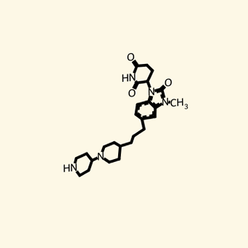 Cn1c(=O)n(C2CCC(=O)NC2=O)c2ccc(CCCC3CCN(C4CCNCC4)CC3)cc21